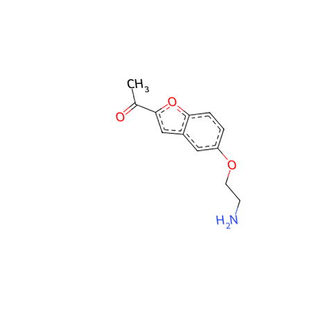 CC(=O)c1cc2cc(OCCN)ccc2o1